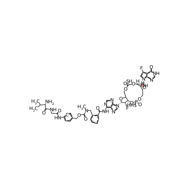 CC(C)[C@H](N)C(=O)NCC(=O)Nc1ccc(COC(=O)N(C)Cc2ccccc2C(=O)Nc2ncnc3c2ncn3[C@@H]2OC3CO[P@@](=O)(S)O[C@@H]4[C@H](O)C(CO[P@@](=O)(S)O[C@H]3[C@H]2F)O[C@H]4n2cc(F)c3c(=O)[nH]cnc32)cc1